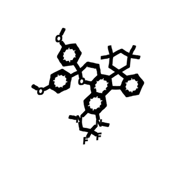 COc1ccc(C2(c3ccc(OC)cc3)C=Cc3c4c(c5cc6c(cc5c3O2)N(C)CC(F)(F)N6C)-c2ccccc2C42CC(C)(C)CC(C)(C)C2)cc1